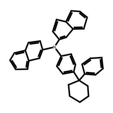 c1ccc(C2(c3ccc(N(c4ccc5ccccc5c4)c4ccc5ccccc5c4)cc3)CCCCC2)cc1